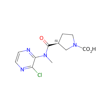 CN(C(=O)[C@H]1CCN(C(=O)O)C1)c1nccnc1Cl